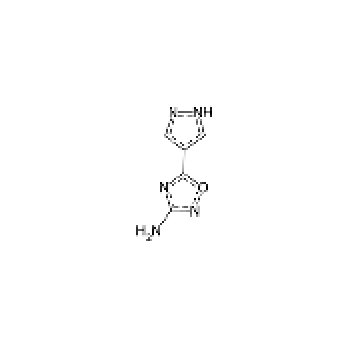 Nc1noc(-c2cn[nH]c2)n1